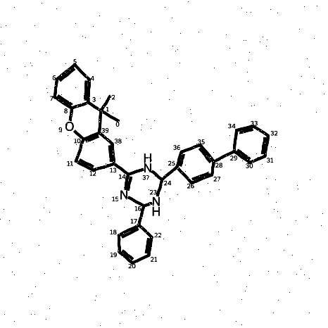 CC1(C)c2ccccc2Oc2ccc(C3=NC(c4ccccc4)NC(c4ccc(-c5ccccc5)cc4)N3)cc21